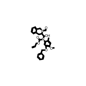 C=CCOC(=O)N(c1cc(OCc2ccccc2)c(OC)cc1C)C(O)C1Cc2ccccc2CN1C=O